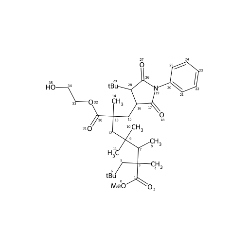 COC(=O)C(C)(CC(C)(C)C)C(C)C(C)(C)CC(C)(CC1C(=O)N(c2ccccc2)C(=O)C1C(C)(C)C)C(=O)OCCO